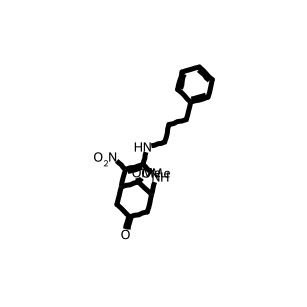 COC1(OC)C2CC(=O)CC1C([N+](=O)[O-])=C(NCCCc1ccccc1)N2